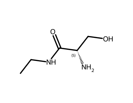 CCNC(=O)[C@@H](N)CO